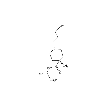 CCC(NC(=O)[C@]1(C)CC[C@H](CCCC(C)C)CC1)C(=O)O